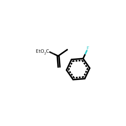 C=C(C)C(=O)OCC.Fc1ccccc1